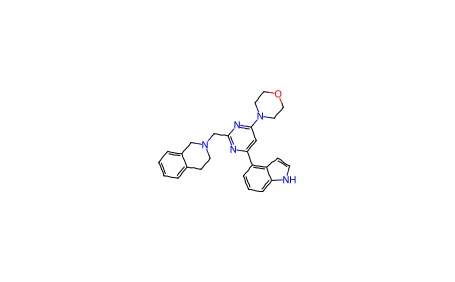 c1ccc2c(c1)CCN(Cc1nc(-c3cccc4[nH]ccc34)cc(N3CCOCC3)n1)C2